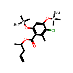 C=CC[C@@H](C)OC(=O)c1c(O[Si](C)(C)C(C)(C)C)cc(O[Si](C)(C)C(C)(C)C)c(Cl)c1C